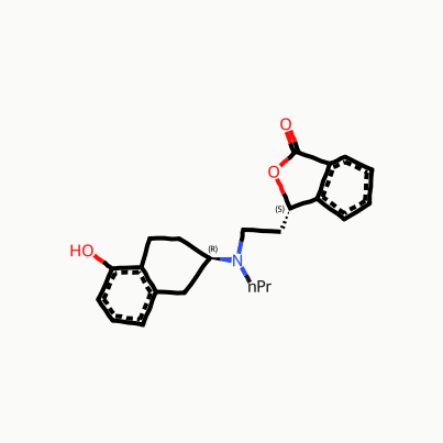 CCCN(CC[C@@H]1OC(=O)c2ccccc21)[C@@H]1CCc2c(O)cccc2C1